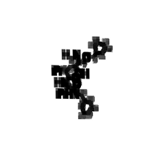 CC(C)[C@H](C[C@H](O)[C@@H](N)COCc1ccccc1)C(=O)N[C@H](C(=O)NCc1ccccc1)C(C)C